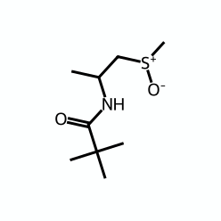 CC(C[S+](C)[O-])NC(=O)C(C)(C)C